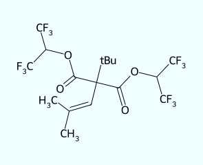 CC(C)=CC(C(=O)OC(C(F)(F)F)C(F)(F)F)(C(=O)OC(C(F)(F)F)C(F)(F)F)C(C)(C)C